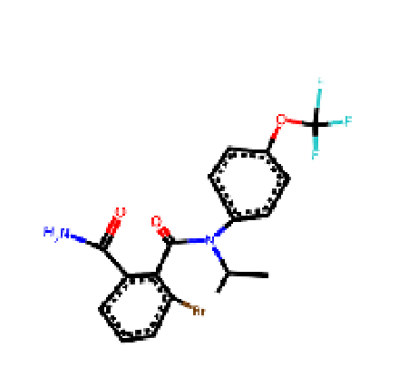 CC(C)N(C(=O)c1c(Br)cccc1C(N)=O)c1ccc(OC(F)(F)F)cc1